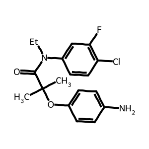 CCN(C(=O)C(C)(C)Oc1ccc(N)cc1)c1ccc(Cl)c(F)c1